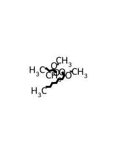 CCCCCCCC(=O)OCC.CCOC(=O)C(C)CC